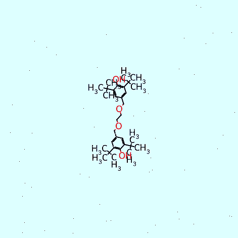 CC(C)(C)c1cc(COCCOCc2cc(C(C)(C)C)c(O)c(C(C)(C)C)c2)cc(C(C)(C)C)c1O